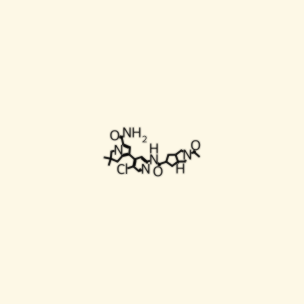 CC(=O)N1CC2CC(C(=O)Nc3cc(-c4cc(C(N)=O)n5c4CC(C)(C)C5)c(Cl)cn3)C[C@@H]2C1